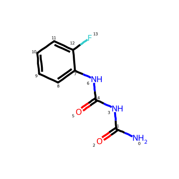 NC(=O)NC(=O)Nc1ccccc1F